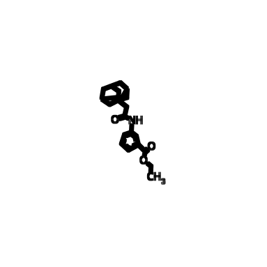 CCOC(=O)c1cccc(NC(=O)CC23CC4CC(CC(C4)C2)C3)c1